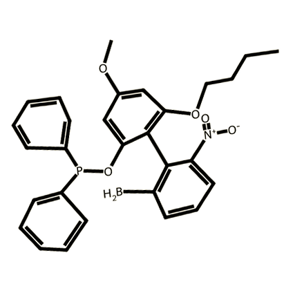 Bc1cccc([N+](=O)[O-])c1-c1c(OCCCC)cc(OC)cc1OP(c1ccccc1)c1ccccc1